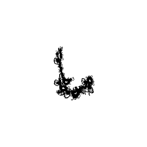 COc1cc(C(=O)N(C)c2ccc(C)cc2OCCCCCC(=O)N2CCN(C)CC2)ccc1C(=O)Nc1cccc2[nH]c(CCN3C(=O)c4ccccc4C3=O)nc12